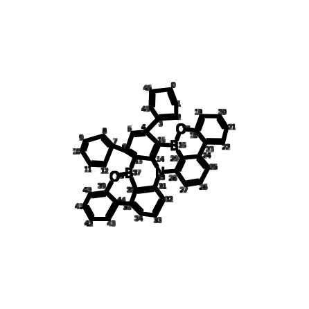 c1ccc(-c2cc(-c3ccccc3)c3c4c2B2Oc5ccccc5-c5cccc(c52)N4c2cccc4c2B3Oc2ccccc2-4)cc1